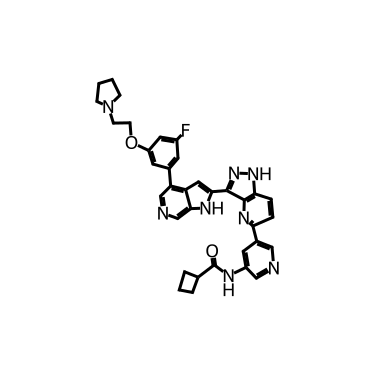 O=C(Nc1cncc(-c2ccc3[nH]nc(-c4cc5c(-c6cc(F)cc(OCCN7CCCC7)c6)cncc5[nH]4)c3n2)c1)C1CCC1